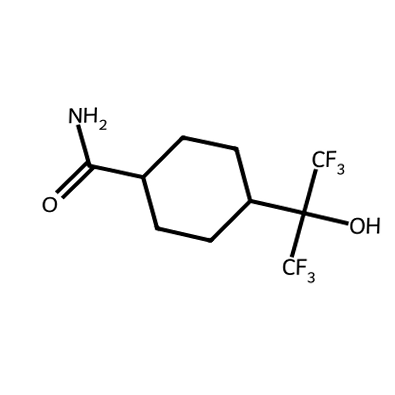 NC(=O)C1CCC(C(O)(C(F)(F)F)C(F)(F)F)CC1